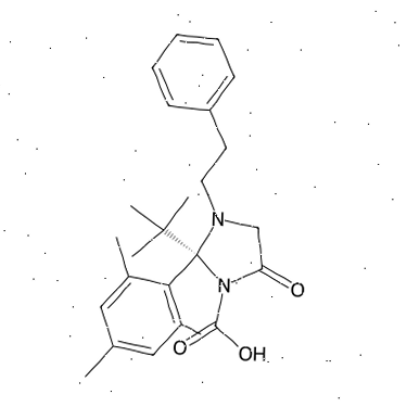 Cc1cc(C)c([C@@]2(C(C)(C)C)N(CCc3ccccc3)CC(=O)N2C(=O)O)c(C)c1